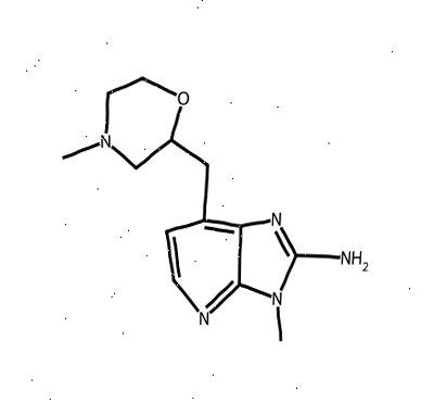 CN1CCOC(Cc2ccnc3c2nc(N)n3C)C1